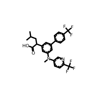 CC(C)CC(C(=O)O)c1cc(-c2ccc(C(F)(F)F)cc2)cc(N(C)c2ccc(C(F)(F)F)nc2)c1